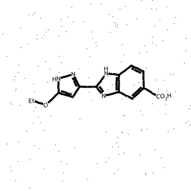 CCOc1cc(-c2nc3cc(C(=O)O)ccc3[nH]2)n[nH]1